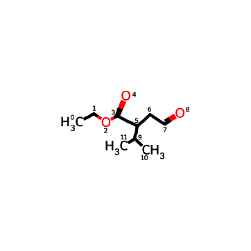 CCOC(=O)C(CC=O)C(C)C